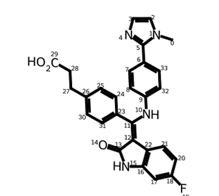 Cn1ccnc1-c1ccc(NC(=C2C(=O)Nc3cc(F)ccc32)c2ccc(CCC(=O)O)cc2)cc1